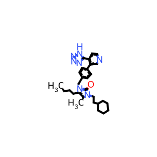 CCCCc1c(C)n(CCC2CCCCC2)c(=O)n1Cc1ccc(-c2cnccc2-c2nnn[nH]2)cc1